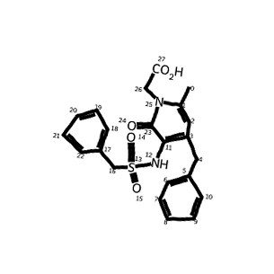 Cc1cc(Cc2ccccc2)c(NS(=O)(=O)Cc2ccccc2)c(=O)n1CC(=O)O